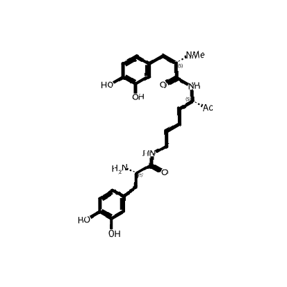 CN[C@@H](Cc1ccc(O)c(O)c1)C(=O)N[C@@H](CCCCNC(=O)[C@@H](N)Cc1ccc(O)c(O)c1)C(C)=O